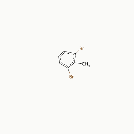 Cc1c(Br)c[c]cc1Br